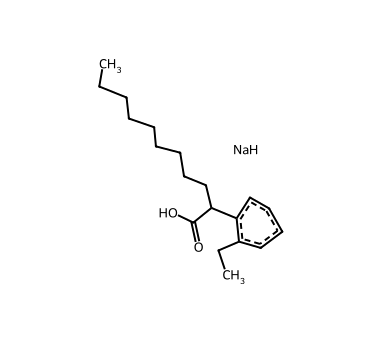 CCCCCCCCCC(C(=O)O)c1ccccc1CC.[NaH]